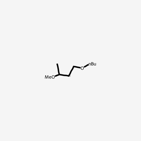 CCCCOC[C]C(C)OC